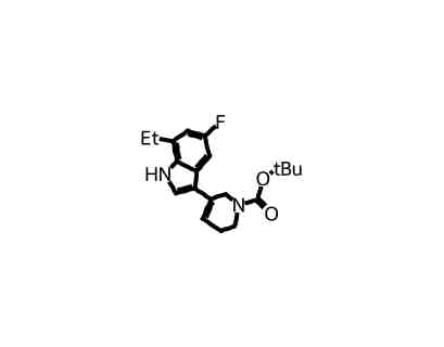 CCc1cc(F)cc2c(C3=CCCN(C(=O)OC(C)(C)C)C3)c[nH]c12